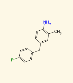 Cc1cc(Cc2ccc(F)cc2)ccc1N